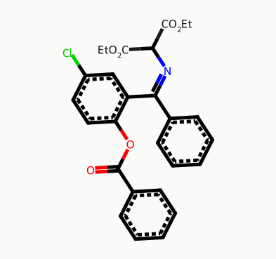 CCOC(=O)C(N=C(c1ccccc1)c1cc(Cl)ccc1OC(=O)c1ccccc1)C(=O)OCC